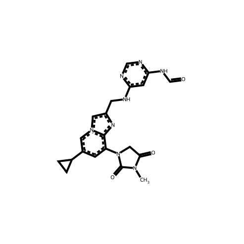 CN1C(=O)CN(c2cc(C3CC3)cn3cc(CNc4cc(NC=O)ncn4)nc23)C1=O